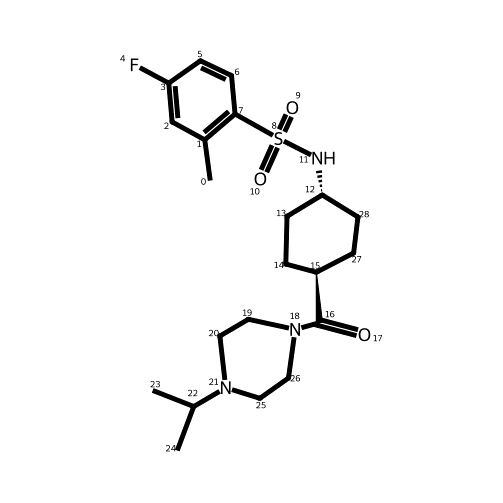 Cc1cc(F)ccc1S(=O)(=O)N[C@H]1CC[C@H](C(=O)N2CCN(C(C)C)CC2)CC1